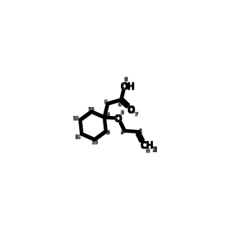 C=CCOC1(CC(=O)O)CCCCC1